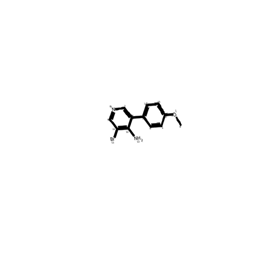 COc1ccc(-c2cncc(Br)c2N)cc1